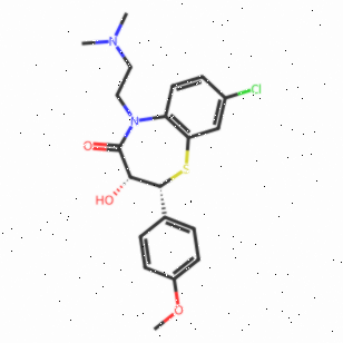 COc1ccc([C@H]2Sc3cc(Cl)ccc3N(CCN(C)C)C(=O)[C@H]2O)cc1